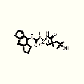 CC(C)(O)CC1(C)C[SH](=O)(NC(=O)Nc2c3c(cc4c2CCC4)CCC3)NC1=O